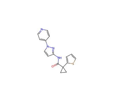 O=C(Nc1ccn(-c2ccncc2)n1)C1(c2cccs2)CC1